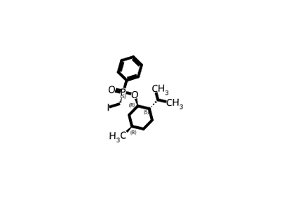 CC(C)[C@@H]1CC[C@@H](C)C[C@H]1O[P@](=O)(CI)c1ccccc1